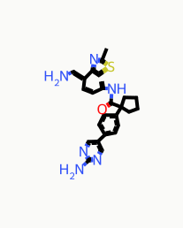 C=C(/C=C\C(=C/N)c1csc(C)n1)NC(=O)C1(c2ccc(-c3cnc(N)nc3)cc2)CCCC1